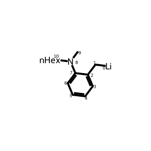 [Li][CH2]c1ccccc1N(C)CCCCCC